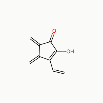 C=CC1=C(O)C(=O)C(=C)C1=C